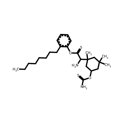 CCCCCCCCc1ccccc1OC(=S)C(N)C1(C)CC(OC(N)=S)CC(C)(C)C1